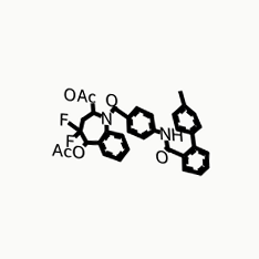 CC(=O)OC1CC(F)(F)C(OC(C)=O)c2ccccc2N1C(=O)c1ccc(NC(=O)c2ccccc2-c2ccc(C)cc2)cc1